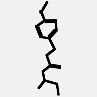 CCC(C)CC(=O)CCc1ccc(OC)cc1